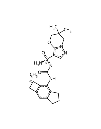 C[C@H]1Cc2cc3c(c(NC(=O)N=[S@](N)(=O)c4cnn5c4OCC(C)(C)C5)c21)CCC3